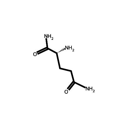 NC(=O)CC[C@@H](N)C(N)=O